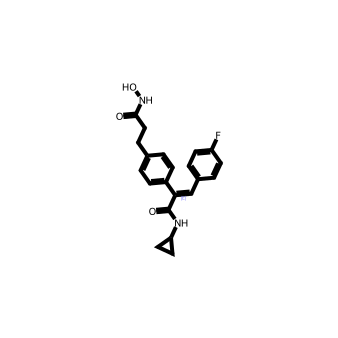 O=C(CCc1ccc(/C(=C\c2ccc(F)cc2)C(=O)NC2CC2)cc1)NO